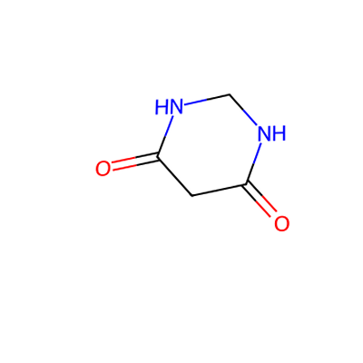 O=C1CC(=O)NCN1